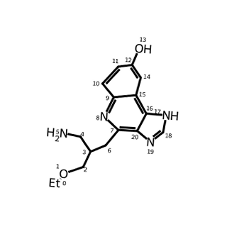 CCOCC(CN)Cc1nc2ccc(O)cc2c2[nH]cnc12